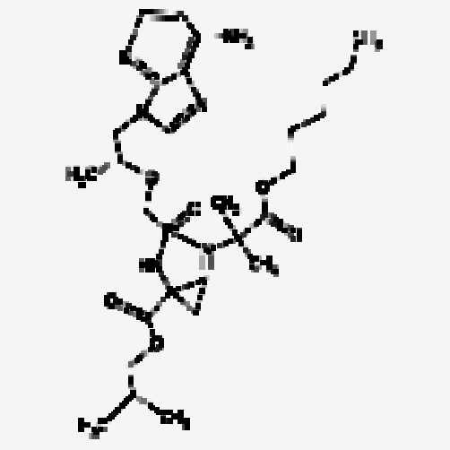 CCCCCCOC(=O)C(C)(C)NP(=O)(CO[C@H](C)Cn1cnc2c(N)ccnc21)NC1(C(=O)OCC(C)C)CC1